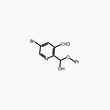 CC(C)OC(O)c1ncc(Br)cc1C=O